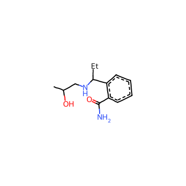 CCC(NCC(C)O)c1ccccc1C(N)=O